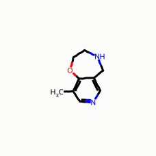 Cc1cncc2c1OCCNC2